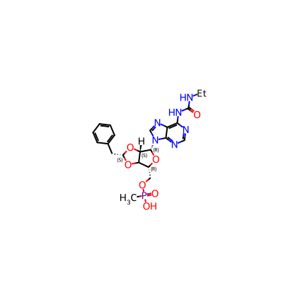 CCNC(=O)Nc1ncnc2c1ncn2[C@@H]1O[C@H](COP(C)(=O)O)C2O[C@H](Cc3ccccc3)O[C@@H]21